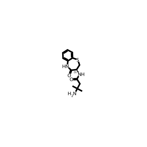 CC(C)(N)CC(=O)N[C@@H]1CSc2ccccc2NC1=O